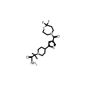 CC(C)(C(N)=O)N1CCC(c2cc(C(=O)N3CCCC(F)(F)CC3)cs2)CC1